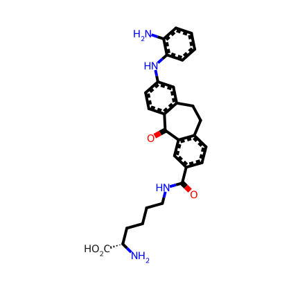 Nc1ccccc1Nc1ccc2c(c1)CCc1ccc(C(=O)NCCCC[C@H](N)C(=O)O)cc1C2=O